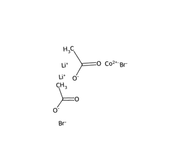 CC(=O)[O-].CC(=O)[O-].[Br-].[Br-].[Co+2].[Li+].[Li+]